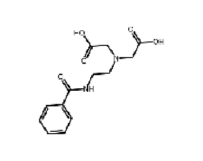 O=C(O)CN(CCNC(=O)c1ccccc1)CC(=O)O